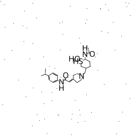 CC(=O)NC1CCC(CN2CCC(=CC(=O)Nc3ccc(C(C)C)cc3)CC2)C[SH]1O